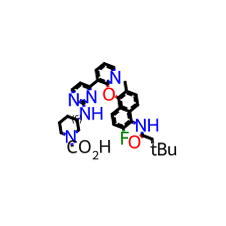 Cc1ccc2c(NC(=O)CC(C)(C)C)c(F)ccc2c1Oc1ncccc1-c1ccnc(N[C@H]2CCCN(C(=O)O)C2)n1